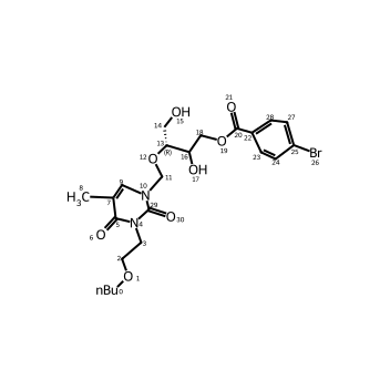 CCCCOCCn1c(=O)c(C)cn(CO[C@H](CO)C(O)COC(=O)c2ccc(Br)cc2)c1=O